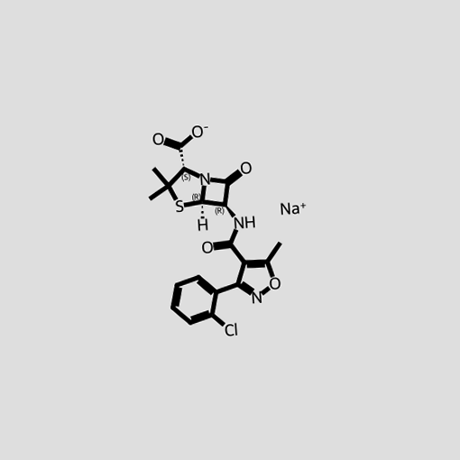 Cc1onc(-c2ccccc2Cl)c1C(=O)N[C@@H]1C(=O)N2[C@@H]1SC(C)(C)[C@@H]2C(=O)[O-].[Na+]